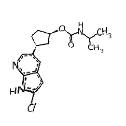 CC(C)NC(=O)O[C@@H]1CC[C@H](c2cnc3[nH]c(Cl)cc3c2)C1